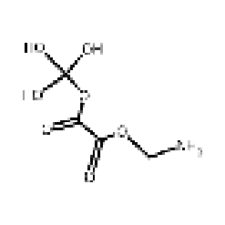 NCOC(=O)C(=O)OC(O)(O)O